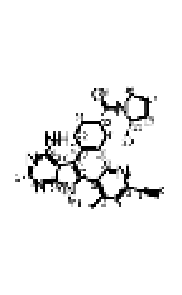 C#Cc1cc(C)c(-c2c(C3=CC[C@@H](C(=O)N4CCC[C@H]4C)CC3)c3c(N)ncnc3n2C)cn1